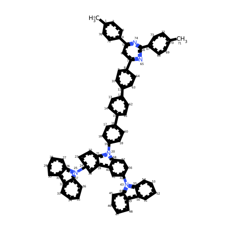 Cc1ccc(-c2cc(-c3ccc(-c4ccc(-c5ccc(-n6c7ccc(-n8c9ccccc9c9ccccc98)cc7c7cc(-n8c9ccccc9c9ccccc98)ccc76)cc5)cc4)cc3)nc(-c3ccc(C)cc3)n2)cc1